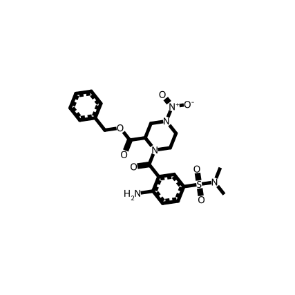 CN(C)S(=O)(=O)c1ccc(N)c(C(=O)N2CCN([N+](=O)[O-])CC2C(=O)OCc2ccccc2)c1